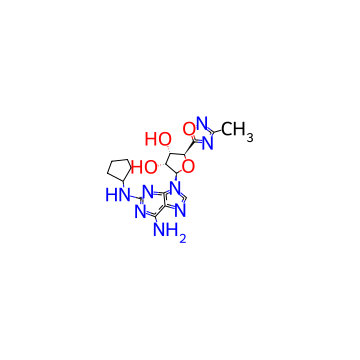 Cc1noc([C@H]2O[C@@H](n3cnc4c(N)nc(NC5CCCC5)nc43)[C@H](O)[C@@H]2O)n1